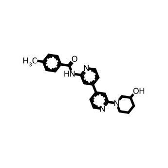 Cc1ccc(C(=O)Nc2cc(-c3ccnc(N4CCCC(O)C4)c3)ccn2)cc1